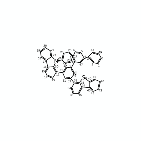 c1ccc(-c2cccc(-c3cc(-c4cccc5c6ccccc6n(-c6ccccc6)c45)cc(-c4cccc5c4sc4ccccc45)n3)c2)cc1